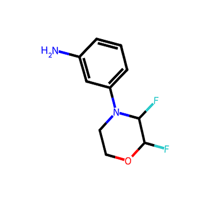 Nc1cccc(N2CCOC(F)C2F)c1